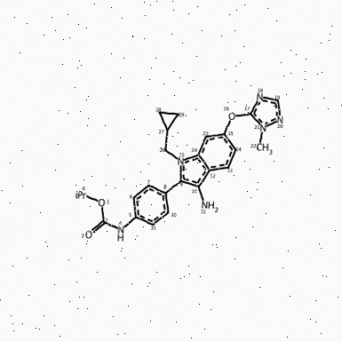 CC(C)OC(=O)Nc1ccc(-c2c(N)c3ccc(Oc4ncnn4C)cc3n2CC2CC2)cc1